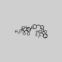 CN(C)C(=O)c1ccc(N2CCC(CC3CCN(C(=O)C(O)(c4ccccc4)C(F)(F)F)C3)CC2)cc1Cl